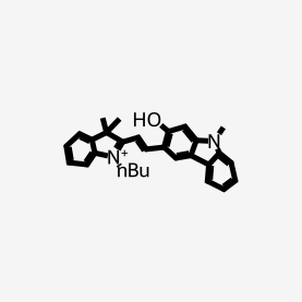 CCCC[N+]1=C(/C=C/c2cc3c4ccccc4n(C)c3cc2O)C(C)(C)c2ccccc21